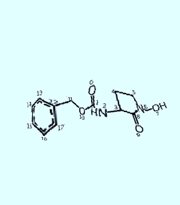 O=C(NC1CCN(O)C1=O)OCc1ccccc1